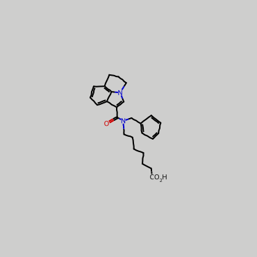 O=C(O)CCCCCCN(Cc1ccccc1)C(=O)c1cn2c3c(cccc13)CCC2